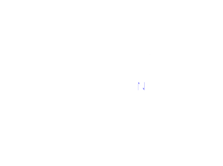 CCCCN1C(C)CCC1C